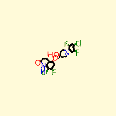 O=C1CCc2c(OCC3(O)CCN(c4cc(F)c(Cl)cc4F)CC3)cc(F)c(Cl)c2N1